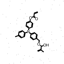 C=CC(=O)Oc1ccc(N(c2ccc(C)cc2)c2ccc(COC(O)C(=C)C)cc2)cc1